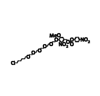 COc1cc(COC(=O)Oc2ccc([N+](=O)[O-])cc2)c([N+](=O)[O-])cc1OCCOCCOCCOCCOCCOCCCCCCCl